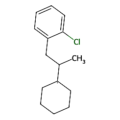 CC(Cc1ccccc1Cl)[C]1CCCCC1